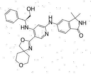 CC1(C)NC(=O)c2ccc(Nc3cc(N[C@H](CO)c4ccccc4)c(C4=NC5(CCOCC5)CO4)cn3)cc21